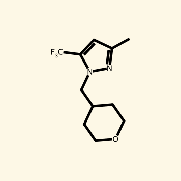 Cc1cc(C(F)(F)F)n(CC2CCOCC2)n1